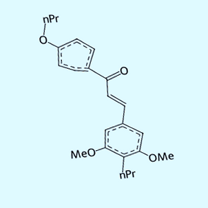 CCCOc1ccc(C(=O)C=Cc2cc(OC)c(CCC)c(OC)c2)cc1